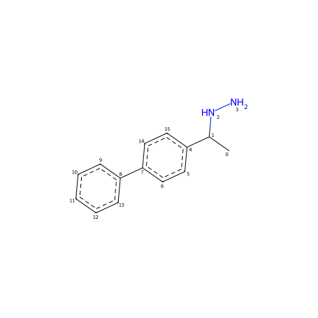 CC(NN)c1ccc(-c2ccccc2)cc1